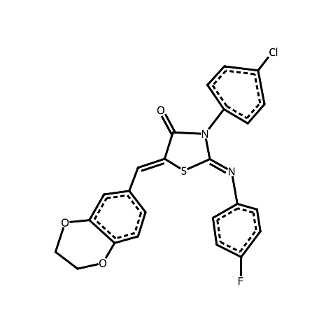 O=C1/C(=C/c2ccc3c(c2)OCCO3)S/C(=N\c2ccc(F)cc2)N1c1ccc(Cl)cc1